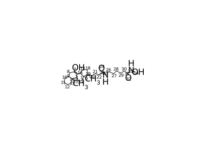 CC12CCC3C(C(O)CC4CCCCC43C)C1CCC2CCCC(=O)NCCCCCC(=O)NO